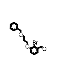 O=Cc1cccc(OCCCOCc2ccccc2)c1Br